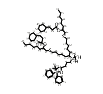 [2H]C([2H])([2H])N(CCCCO[Si](c1ccccc1)(c1ccccc1)C(C)(C)C)C(CCCCCSCC(CCCCCC)OC(=O)CCC1CCCCC1)CCCCCSCC(CCCCCC)OC(=O)CCC1CCCCC1